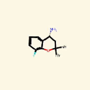 CCCC1(CCC)C[C@@H](N)c2cccc(F)c2O1